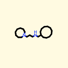 C1CCCCCC(CNCCCN2CCCCCCCC2)CCCC1